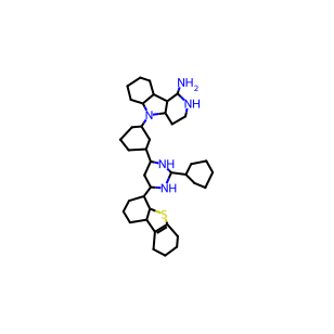 NC1NCCC2C1C1CCCCC1N2C1CCCC(C2CC(C3CCCC4C5=C(CCCC5)SC43)NC(C3CCCCC3)N2)C1